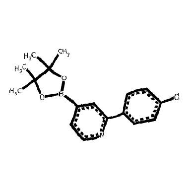 CC1(C)OB(c2ccnc(-c3ccc(Cl)cc3)c2)OC1(C)C